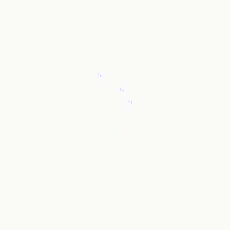 CCOc1ccc2nccn2n1